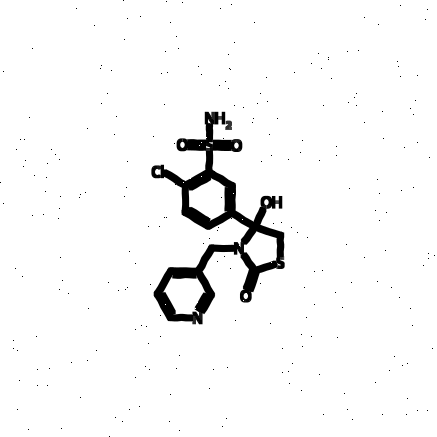 NS(=O)(=O)c1cc(C2(O)CSC(=O)N2Cc2cccnc2)ccc1Cl